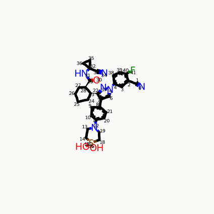 N#Cc1cc(-n2cc(-c3ccc(N4CCS(O)(O)CC4)cc3)c([C@@H]3CCCC[C@H]3C(=O)NC3(C#N)CC3)n2)ccc1F